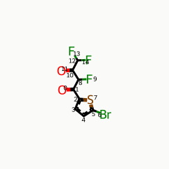 O=C(c1ccc(Br)s1)C(F)C(=O)C(F)F